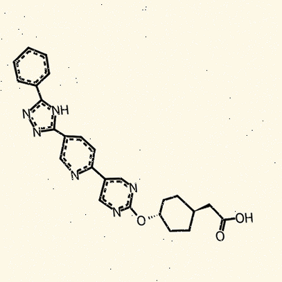 O=C(O)C[C@H]1CC[C@H](Oc2ncc(-c3ccc(-c4nnc(-c5ccccc5)[nH]4)cn3)cn2)CC1